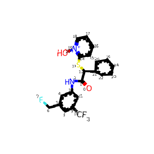 O=C(Nc1cc(CF)cc(C(F)(F)F)c1)C(Sc1cccc[n+]1O)c1ccccc1